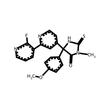 COc1ccc(C2(c3ccnc(-c4cccnc4F)c3)NC(=S)N(C)C2=O)cc1